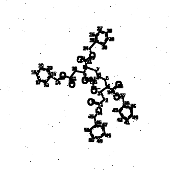 O=C(CCC(CC(CC(CCC(=O)OCc1ccccc1)C(=O)OCc1ccccc1)[N+](=O)[O-])C(=O)OCc1ccccc1)OCc1ccccc1